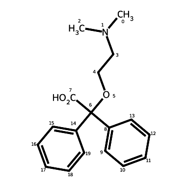 CN(C)CCOC(C(=O)O)(c1ccccc1)c1ccccc1